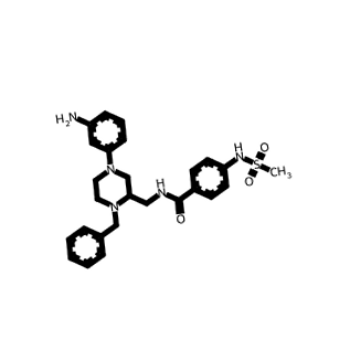 CS(=O)(=O)Nc1ccc(C(=O)NCC2CN(c3cccc(N)c3)CCN2Cc2ccccc2)cc1